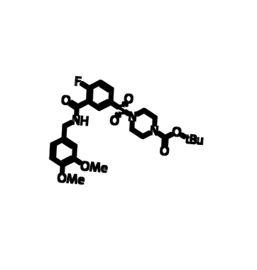 COc1ccc(CNC(=O)c2cc(S(=O)(=O)N3CCN(C(=O)OC(C)(C)C)CC3)ccc2F)cc1OC